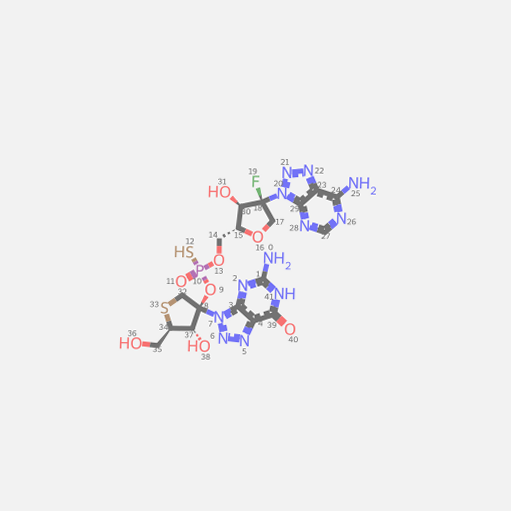 Nc1nc2c(nnn2[C@@]2(OP(=O)(S)OC[C@H]3OC[C@@](F)(n4nnc5c(N)ncnc54)[C@@H]3O)CS[C@H](CO)[C@H]2O)c(=O)[nH]1